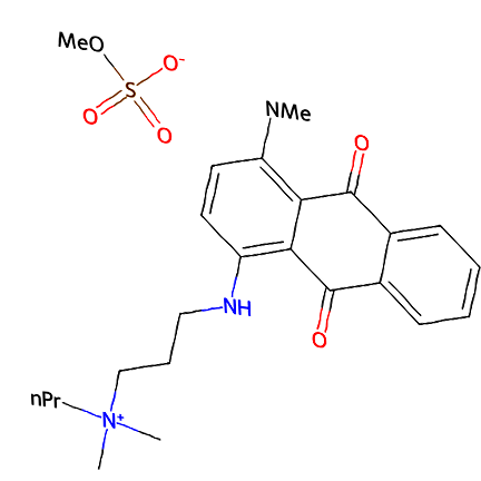 CCC[N+](C)(C)CCCNc1ccc(NC)c2c1C(=O)c1ccccc1C2=O.COS(=O)(=O)[O-]